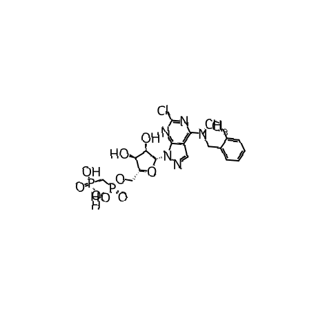 CN(Cc1ccccc1Cl)c1nc(Cl)nc2c1cnn2[C@@H]1O[C@H](COP(=O)(O)CP(=O)(O)O)[C@@H](O)[C@H]1O